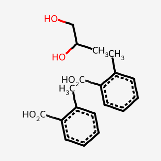 CC(O)CO.Cc1ccccc1C(=O)O.Cc1ccccc1C(=O)O